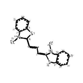 CCN1C(=CC=CC2Sc3ccccc3N2CC)Sc2ccccc21